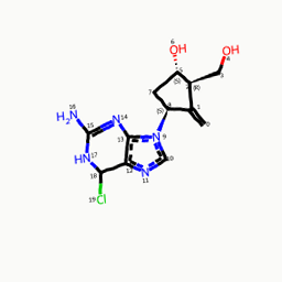 C=C1[C@H](CO)[C@@H](O)C[C@@H]1n1cnc2c1N=C(N)NC2Cl